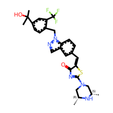 C[C@@H]1CN(C2=NC(=O)C(=Cc3ccc4c(cnn4Cc4ccc(C(C)(C)O)cc4C(F)(F)F)c3)S2)C[C@H](C)N1